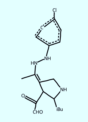 CCC(C)C1NCC(=C(C)NNc2ccc(Cl)cc2)C1C(=O)C=O